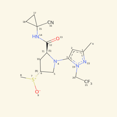 Cc1cc(N2C[C@H]([S+](C)[O-])C[C@H]2C(=O)NC2(C#N)CC2)n(CC(F)(F)F)n1